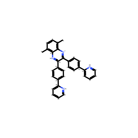 Cc1ccc(C)c2nc(-c3ccc(-c4ccccn4)cc3)c(-c3ccc(-c4ccccn4)cc3)nc12